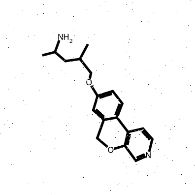 CC(N)CC(C)COc1ccc2c(c1)COc1cnccc1-2